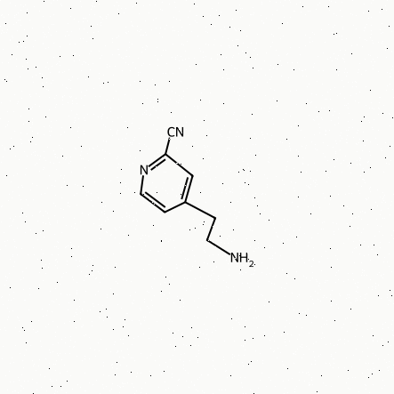 N#Cc1cc(CCN)ccn1